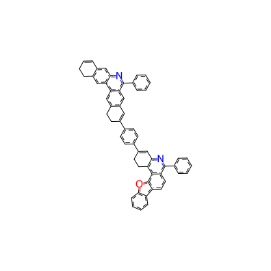 C1=Cc2cc3nc(-c4ccccc4)c4cc5c(cc4c3cc2CC1)CCC(c1ccc(C2=Cc3nc(-c4ccccc4)c4ccc6c7ccccc7oc6c4c3CC2)cc1)=C5